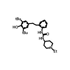 CCN1CCC(NC(=O)Nc2ccccc2CCc2cc(C(C)(C)C)c(O)c(C(C)(C)C)c2)CC1